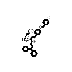 CC(CCc1ccc(OCc2ccc(Cl)cc2)cc1)NCCC(c1ccccc1)c1ccccc1.O=C(O)C=CC(=O)O